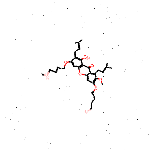 BCCCCOc1cc2oc3cc(OCCCCBC)c(CC=C(C)C)c(O)c3c(=O)c2c(CC=C(C)C)c1OC